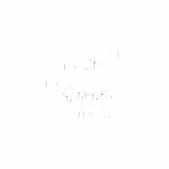 CCOP(=O)(C/C=C/CN1C(C(=O)Nc2ncc(C)s2)=C(O)c2ccccc2S1(=O)=O)OCC